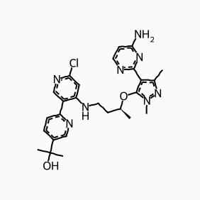 Cc1nn(C)c(O[C@@H](C)CCNc2cc(Cl)ncc2-c2ccc(C(C)(C)O)cn2)c1-c1nccc(N)n1